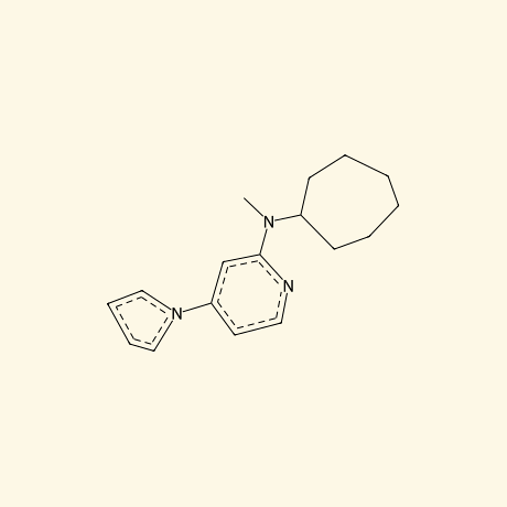 CN(c1cc(-n2cccc2)ccn1)C1CCCCCC1